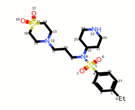 CCc1ccc(S(=O)(=O)N(CCCN2CCS(=O)(=O)CC2)C2CCNCC2)cc1